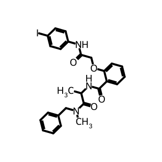 CC(NC(=O)c1ccccc1OCC(=O)Nc1ccc(I)cc1)C(=O)N(C)Cc1ccccc1